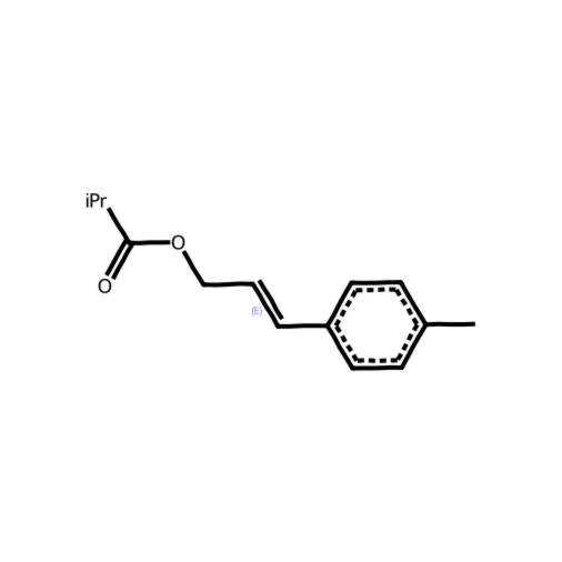 Cc1ccc(/C=C/COC(=O)C(C)C)cc1